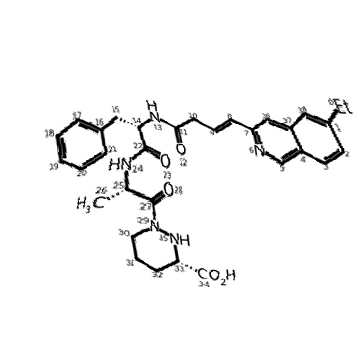 CCc1ccc2cnc(/C=C/CC(=O)N[C@@H](Cc3ccccc3)C(=O)N[C@@H](C)C(=O)N3CCC[C@@H](C(=O)O)N3)cc2c1